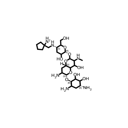 CNC1C(O[C@H]2OC(CO)[C@@H](NCC3(N)CCCC3)CC2O)O[C@H]2CC(N)[C@@H](O[C@@H]3C(N)C[C@@H](N)C(O)C3O)OC2C1O